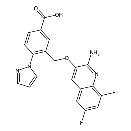 Nc1nc2c(F)cc(F)cc2cc1OCc1cc(C(=O)O)ccc1-n1cccn1